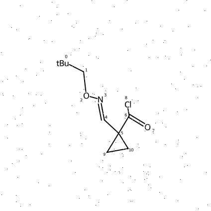 CC(C)(C)CON=CC1(C(=O)Cl)CC1